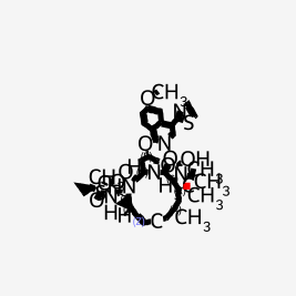 CC[C@@H]1C[C@H](C)CC/C=C\[C@@H]2C[C@@]2(C(=O)NS(=O)(=O)C2(C)CC2)NC(=O)[C@@H]2C[C@@H](Oc3ncc(-c4nccs4)c4cc(OC)ccc34)CN2C(=O)[C@H]1N(C(=O)O)C(C)(C)C